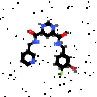 O=C(NCc1cccnc1)c1cc(C(=O)NCc2ccc(F)c(Br)c2)ncn1